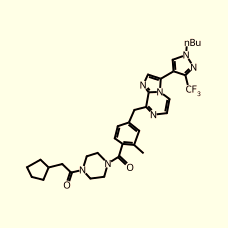 CCCCn1cc(-c2cnc3c(Cc4ccc(C(=O)N5CCN(C(=O)CC6CCCC6)CC5)c(C)c4)nccn23)c(C(F)(F)F)n1